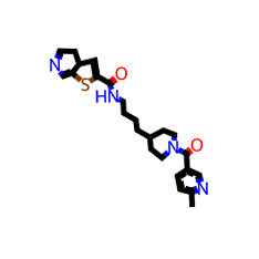 Cc1ccc(C(=O)N2CCC(CCCCNC(=O)C3=CC4CC=NC=C4S3)CC2)cn1